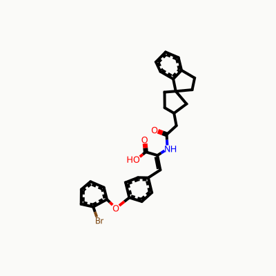 O=C(CC1CCC2(CCc3ccccc32)C1)NC(=Cc1ccc(Oc2ccccc2Br)cc1)C(=O)O